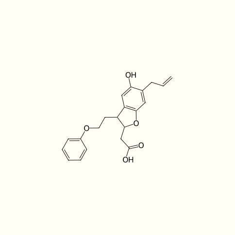 C=CCc1cc2c(cc1O)C(CCOc1ccccc1)C(CC(=O)O)O2